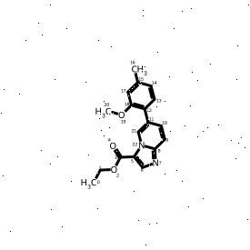 CCOC(=O)c1cnc2ccc(-c3ccc(C)cc3OC)cn12